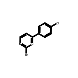 Clc1ccc(-c2ccnc(Br)n2)cc1